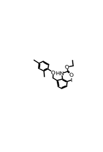 CCOC(=O)Nc1c(I)cccc1COc1ccc(C)cc1C